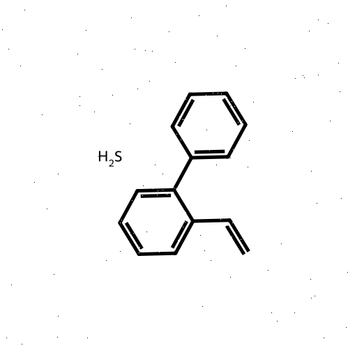 C=Cc1ccccc1-c1ccccc1.S